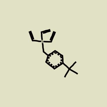 C=CS(C=C)(C=C)Cc1ccc(C(C)(C)C)cc1